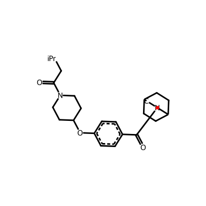 CC(C)CC(=O)N1CCC(Oc2ccc(C(=O)N3CC4CCC(CC4)C3)cc2)CC1